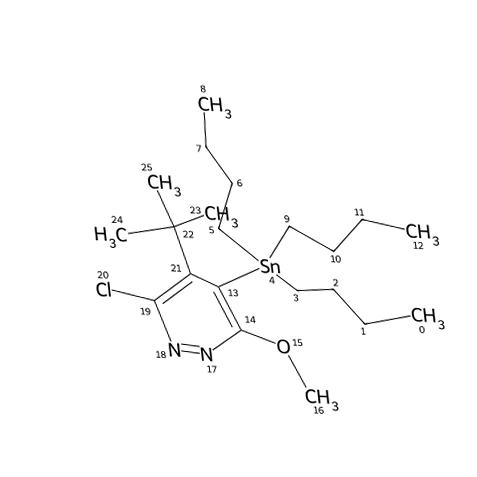 CCC[CH2][Sn]([CH2]CCC)([CH2]CCC)[c]1c(OC)nnc(Cl)c1C(C)(C)C